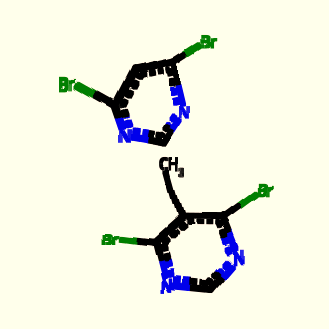 Brc1cc(Br)ncn1.Cc1c(Br)ncnc1Br